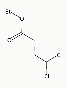 CCOC(=O)CCC(Cl)Cl